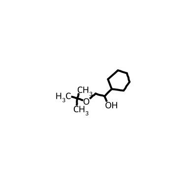 CC(C)(C)OCC(O)C1CCCCC1